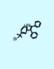 CC(C)(Br)c1ccc2[nH]c(-c3ccccc3)c(-c3ccccc3)c2c1